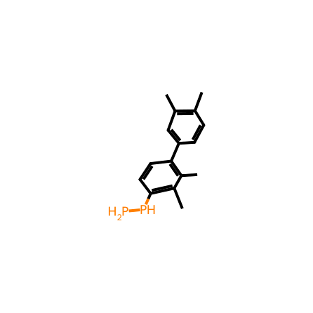 Cc1ccc(-c2ccc(PP)c(C)c2C)cc1C